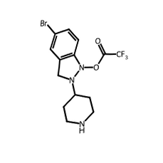 O=C(ON1c2ccc(Br)cc2CN1C1CCNCC1)C(F)(F)F